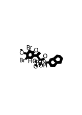 COc1c(Br)cc2c(C(C(=O)Nc3ccc4ccccc4c3)P(=O)(O)O)coc2c1Br